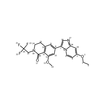 CCOc1ccn2c(-c3cc4c(c(OC)c3)C(=O)N(CC(F)(F)F)CC4)cnc2c1